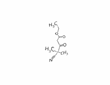 CCOC(=O)CC(=O)C(C)(C)C#N